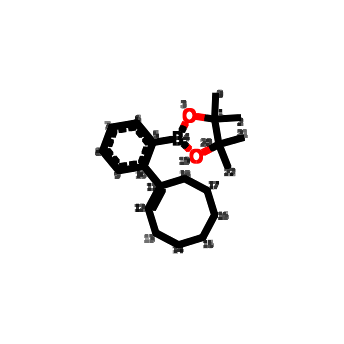 CC1(C)OB(c2ccccc2/C2=C/CCCCCC2)OC1(C)C